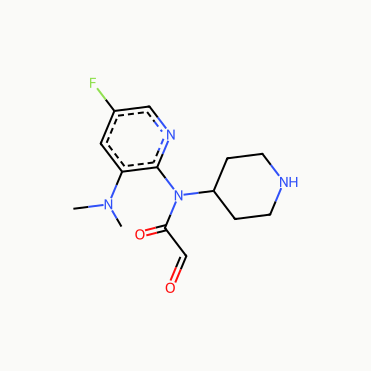 CN(C)c1cc(F)cnc1N(C(=O)C=O)C1CCNCC1